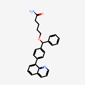 NC(=O)CCCCOC(c1ccccc1)c1ccc(-c2cccc3cccnc23)cc1